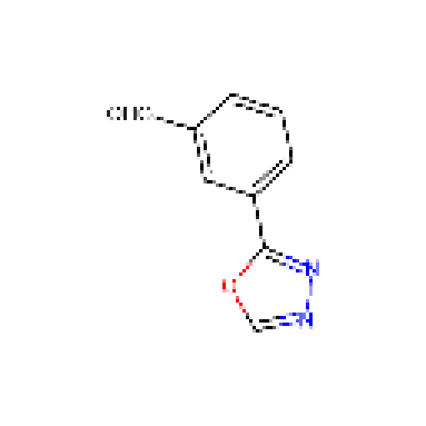 O=Cc1cccc(-c2nnco2)c1